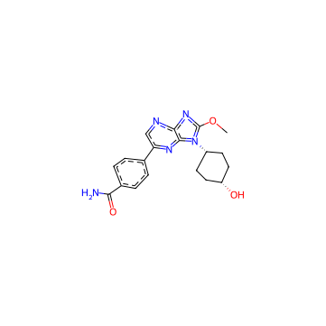 COc1nc2ncc(-c3ccc(C(N)=O)cc3)nc2n1[C@H]1CC[C@@H](O)CC1